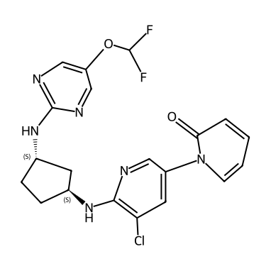 O=c1ccccn1-c1cnc(N[C@H]2CC[C@H](Nc3ncc(OC(F)F)cn3)C2)c(Cl)c1